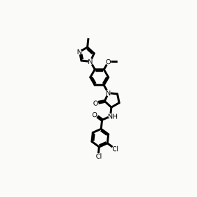 COc1cc(N2CCC(NC(=O)c3ccc(Cl)c(Cl)c3)C2=O)ccc1-n1cnc(C)c1